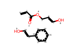 C=CC(=O)OCC=CO.OC=Cc1ccccc1